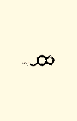 O=C(O)Cc1ccc2sccc2c1